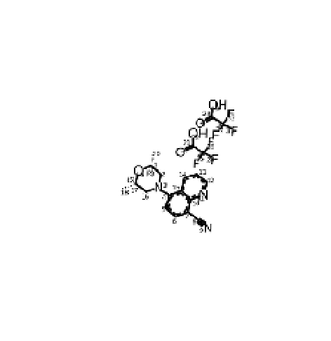 C[C@@H]1CN(c2ccc(C#N)c3ncccc23)C[C@H](C)O1.O=C(O)C(F)(F)F.O=C(O)C(F)(F)F